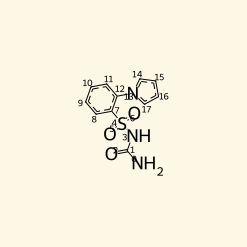 NC(=O)NS(=O)(=O)c1ccccc1-n1cccc1